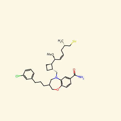 CO[C@@H](/C=C\C[C@H](C)CS)[C@@H]1CC[C@H]1CN1CC(CCCc2cccc(Cl)c2)COc2ccc(C(N)=O)cc21